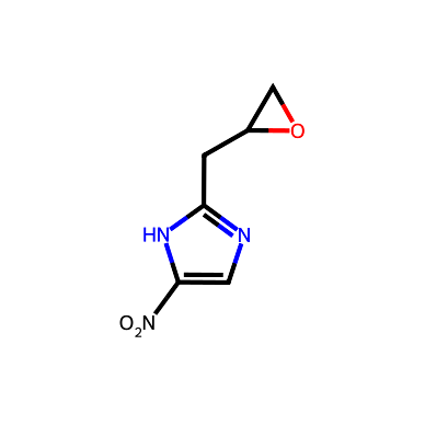 O=[N+]([O-])c1cnc(CC2CO2)[nH]1